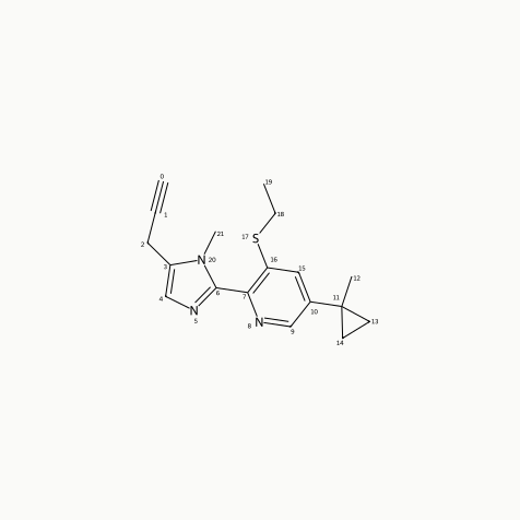 C#CCc1cnc(-c2ncc(C3(C)CC3)cc2SCC)n1C